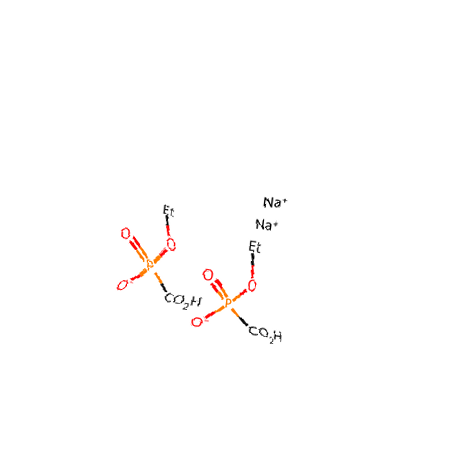 CCOP(=O)([O-])C(=O)O.CCOP(=O)([O-])C(=O)O.[Na+].[Na+]